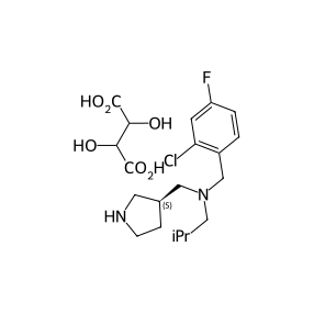 CC(C)CN(Cc1ccc(F)cc1Cl)C[C@H]1CCNC1.O=C(O)C(O)C(O)C(=O)O